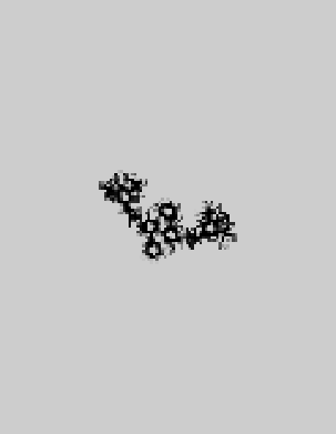 Cc1cc(-c2cc(C)c(/N=N/C=C3C=C(C(C)(C)C)C(=O)C(C(C)(C)C)=C3)cc2-c2ccccc2)c(-c2ccccc2)cc1/N=N/C=C1C=C(C(C)(C)C)C(=O)C(C(C)(C)C)=C1